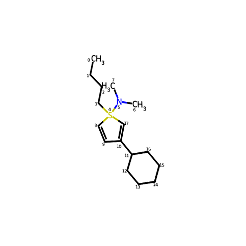 CCCCS1(N(C)C)C=CC(C2CCCCC2)=C1